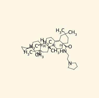 CC1(C)CC[C@]2(C(=O)NCCN3CCCC3)CC[C@]3(C)C(=C2C1)CC[C@@H]1[C@@]2(C)CC[C@H](C4CC4)C(C)(C)[C@@H]2CC[C@]13C